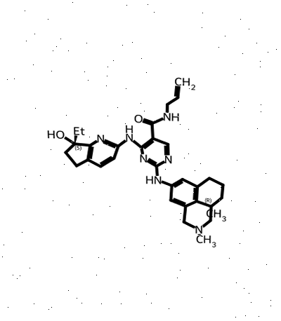 C=CCNC(=O)c1cnc(Nc2cc3c4c(c2)CN(C)C[C@]4(C)CCC3)nc1Nc1ccc2c(n1)[C@](O)(CC)CC2